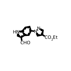 CCOC(=O)c1cnn(-c2ccc3[nH]cc(C=O)c3c2)c1